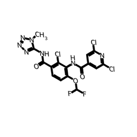 Cn1nnnc1NC(=O)c1ccc(OC(F)F)c(NC(=O)c2cc(Cl)nc(Cl)c2)c1Cl